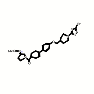 CO/N=C1\CCN(C(=O)C2CC=C(c3ccc(OCC4CCN(c5nc(C(C)C)no5)CC4)cc3)CC2)C1